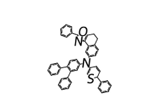 C1=CC(c2ccccc2)SC=C1N(c1ccc2c(c1)-c1nc(-c3ccccc3)oc1CC2)c1ccc(-c2ccccc2)c(-c2ccccc2)c1